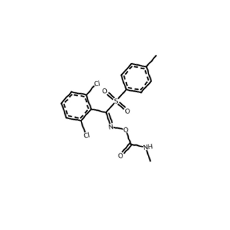 CNC(=O)ON=C(c1c(Cl)cccc1Cl)S(=O)(=O)c1ccc(C)cc1